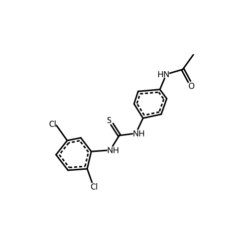 CC(=O)Nc1ccc(NC(=S)Nc2cc(Cl)ccc2Cl)cc1